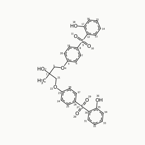 CC(O)(COc1ccc(S(=O)(=O)c2ccccc2O)cc1)COc1ccc(S(=O)(=O)c2ccccc2O)cc1